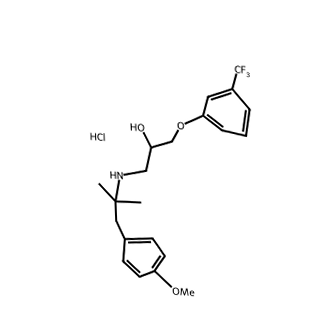 COc1ccc(CC(C)(C)NCC(O)COc2cccc(C(F)(F)F)c2)cc1.Cl